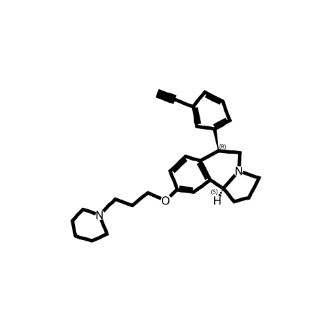 C#Cc1cccc([C@H]2CN3CCC[C@H]3c3cc(OCCCN4CCCCC4)ccc32)c1